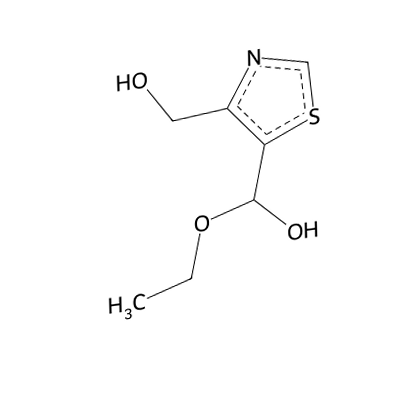 CCOC(O)c1scnc1CO